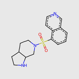 O=S(=O)(c1cccc2cnccc12)N1CCC2CCNC2C1